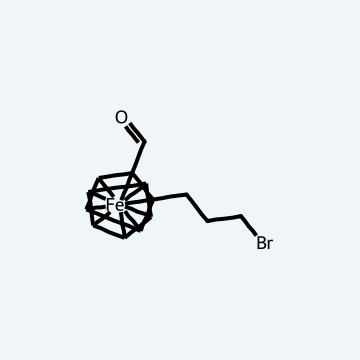 O=C[C]12[CH]3[CH]4[CH]5[C]1(CCCBr)[Fe]43521678[CH]2[CH]1[CH]6[CH]7[CH]28